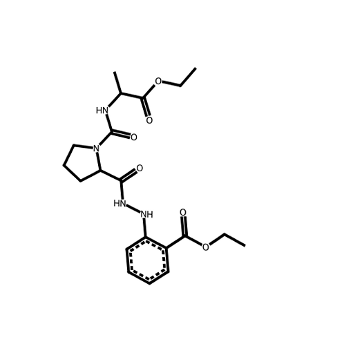 CCOC(=O)c1ccccc1NNC(=O)C1CCCN1C(=O)NC(C)C(=O)OCC